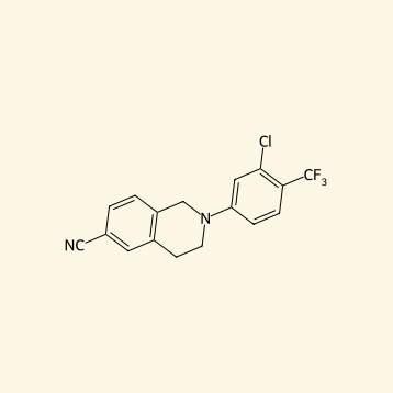 N#Cc1ccc2c(c1)CCN(c1ccc(C(F)(F)F)c(Cl)c1)C2